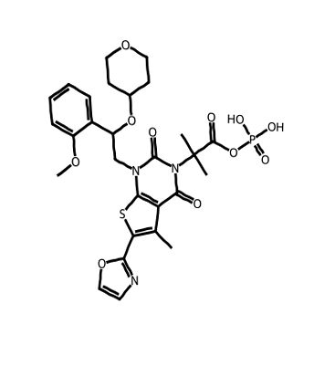 COc1ccccc1C(Cn1c(=O)n(C(C)(C)C(=O)OP(=O)(O)O)c(=O)c2c(C)c(-c3ncco3)sc21)OC1CCOCC1